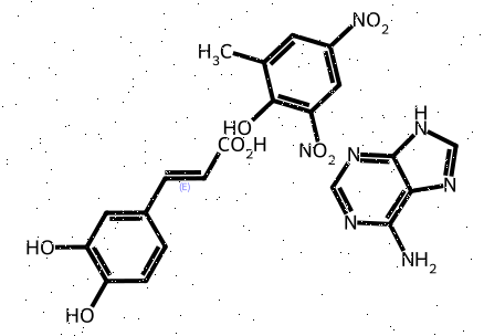 Cc1cc([N+](=O)[O-])cc([N+](=O)[O-])c1O.Nc1ncnc2[nH]cnc12.O=C(O)/C=C/c1ccc(O)c(O)c1